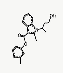 Cc1cccc(OC(=O)c2c(C)n(C(C)CCO)c3ccccc23)c1